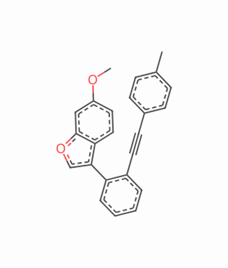 COc1ccc2c(-c3ccccc3C#Cc3ccc(C)cc3)coc2c1